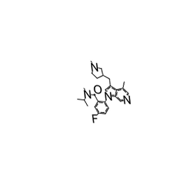 Cc1cncc2c1c(CC1CCN(C)C1)cn2-c1ccc(F)cc1C(=O)N(C)C(C)C